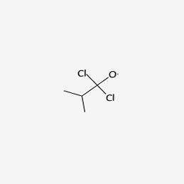 CC(C)C([O])(Cl)Cl